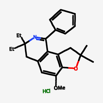 CCC1(CC)Cc2cc(OC)c3c(c2C(c2ccccc2)=N1)CC(C)(C)O3.Cl